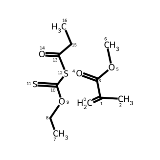 C=C(C)C(=O)OC.CCOC(=S)SC(=O)CC